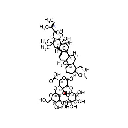 C/C=C(\C)C(=O)O[C@H]1[C@H](O)[C@]2(CO)[C@H](O)C[C@]3(C)C(=CCC4[C@@]5(C)CC[C@H](O[C@@H]6O[C@H](C(=O)O)[C@@H](O[C@@H]7OC(CO)[C@@H](O)[C@H](O)[C@H]7O)[C@H](O)[C@H]6O[C@@H]6O[C@H](CO)[C@@H](O)[C@H](O)[C@H]6O)[C@H](C)[C@H](CO)C5CC[C@]43C)[C@@H]2CC1(C)C